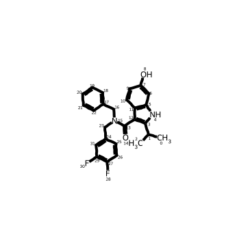 CC(C)c1[nH]c2cc(O)ccc2c1C(=O)N(Cc1ccccc1)Cc1ccc(F)c(F)c1